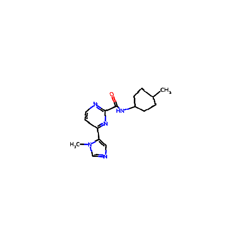 CC1CCC(NC(=O)c2nccc(-c3cncn3C)n2)CC1